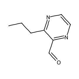 CCCc1nccnc1C=O